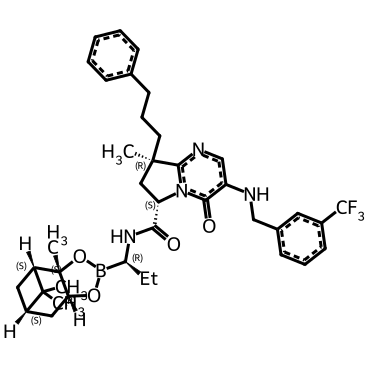 CC[C@H](NC(=O)[C@@H]1C[C@@](C)(CCCc2ccccc2)c2ncc(NCc3cccc(C(F)(F)F)c3)c(=O)n21)B1O[C@@H]2C[C@@H]3C[C@@H](C3(C)C)[C@]2(C)O1